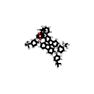 CC(C)(C)c1ccc(N(c2ccc([Si](C)(C)C)cc2)c2ccc3c(c2)C2(c4ccccc4-c4cc5c(cc42)-c2ccccc2C2C=CC=CC52)c2cc(N(c4ccc(C(C)(C)C)cc4)c4ccc([Si](C)(C)C)cc4)ccc2-3)cc1